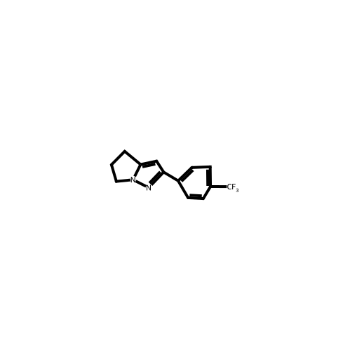 FC(F)(F)c1ccc(-c2cc3n(n2)CCC3)cc1